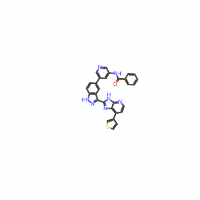 O=C(Nc1cncc(-c2ccc3[nH]nc(-c4nc5c(-c6ccsc6)ccnc5[nH]4)c3c2)c1)c1ccccc1